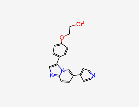 OCCOc1ccc(-c2cnc3ccc(-c4ccncc4)cn23)cc1